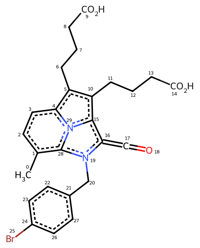 Cc1ccc2c(CCCC(=O)O)c(CCCC(=O)O)c3c(=C=O)n(Cc4ccc(Br)cc4)c1n23